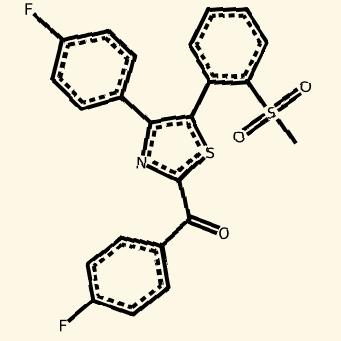 CS(=O)(=O)c1ccccc1-c1sc(C(=O)c2ccc(F)cc2)nc1-c1ccc(F)cc1